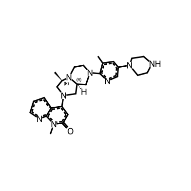 Cc1cc(N2CCNCC2)cnc1N1CCN2[C@@H](C1)CN(c1cc(=O)n(C)c3ncccc13)C[C@H]2C